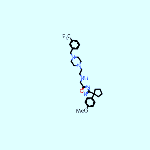 COc1ccc(C2(c3noc(CNCCN4CCN(Cc5cccc(C(F)(F)F)c5)CC4)n3)CCCC2)cc1